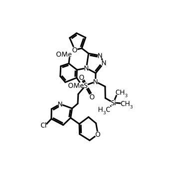 COc1cccc(OC)c1-n1c(-c2ccco2)nnc1N(CC[Si](C)(C)C)S(=O)(=O)CCc1ncc(Cl)cc1C1=CCOCC1